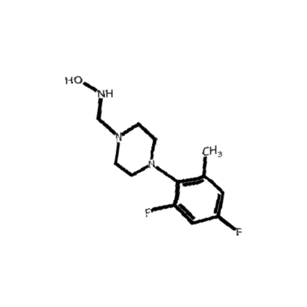 Cc1cc(F)cc(F)c1N1CCN(CNO)CC1